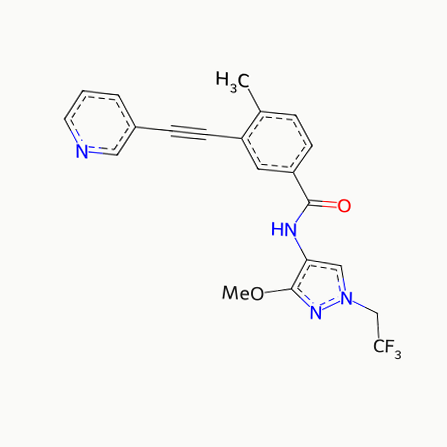 COc1nn(CC(F)(F)F)cc1NC(=O)c1ccc(C)c(C#Cc2cccnc2)c1